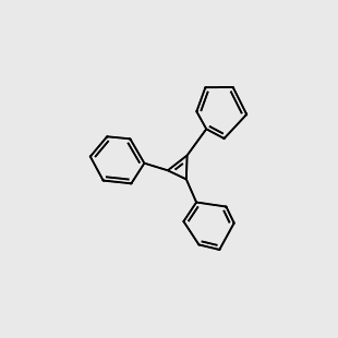 c1ccc(C2=C(c3ccccc3)C2c2ccccc2)cc1